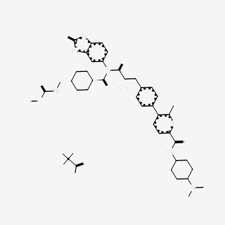 Cc1nc(C(=O)NC2CCC(N(C)C)CC2)ccc1-c1ccc(C[C@H](N)C(=O)N(c2ccc3[nH]c(=O)[nH]c3c2)C(=O)[C@H]2CC[C@H](CNC(=O)OC(C)(C)C)CC2)cc1.O=C(O)C(F)(F)F